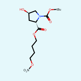 CC(C)(C)OC(=O)N1C[C@H](O)C[C@H]1C(=O)OCCCCO[N+](=O)[O-]